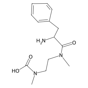 CN(CCN(C)C(=O)C(N)Cc1ccccc1)C(=O)O